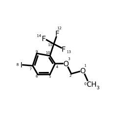 COCOc1ccc(I)cc1C(F)(F)F